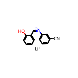 N#Cc1cccc(/N=C\c2ccccc2O)c1.[Li+]